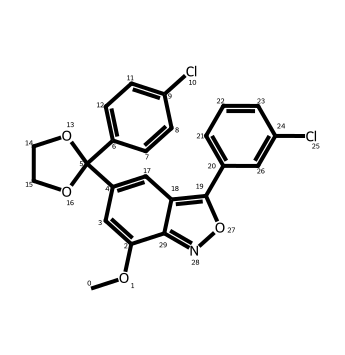 COc1cc(C2(c3ccc(Cl)cc3)OCCO2)cc2c(-c3cccc(Cl)c3)onc12